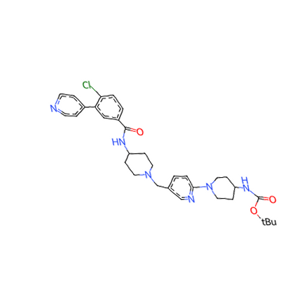 CC(C)(C)OC(=O)NC1CCN(c2ccc(CN3CCC(NC(=O)c4ccc(Cl)c(-c5ccncc5)c4)CC3)cn2)CC1